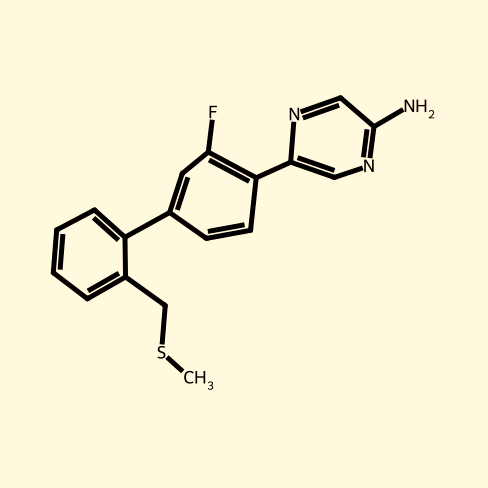 CSCc1ccccc1-c1ccc(-c2cnc(N)cn2)c(F)c1